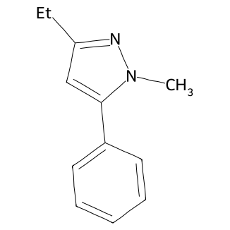 CCc1cc(-c2ccccc2)n(C)n1